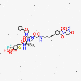 CC(C)(C)[C@H](NC(=O)c1cc2cc(C(F)(F)P(=O)(O)O)ccc2s1)C(=O)N1CCN(C(=O)CC(=O)NCCCCC#Cc2ccc3c(c2)C(=O)N(C2CCC(=O)NC2=O)C3=O)C[C@H]1C(=O)N1CCOC(c2ccccc2)C1